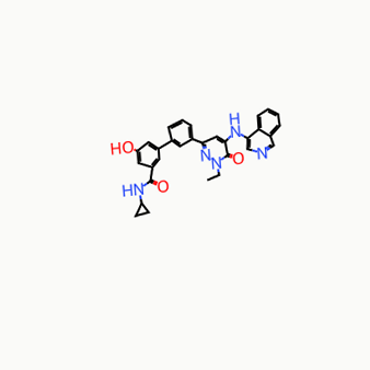 CCn1nc(-c2cccc(-c3cc(O)cc(C(=O)NC4CC4)c3)c2)cc(Nc2cncc3ccccc23)c1=O